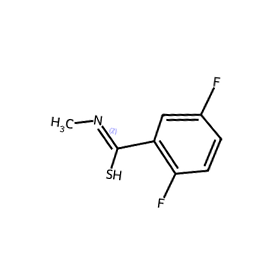 C/N=C(\S)c1cc(F)ccc1F